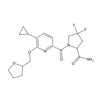 NC(=O)C1CC(F)(F)CN1C(=O)c1ccc(C2CC2)c(OCC2CCCO2)n1